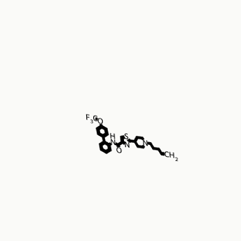 C=CCCCN1CCC(c2nc(C(=O)Nc3ccccc3-c3ccc(OC(F)(F)F)cc3)cs2)CC1